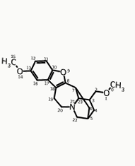 COCC1CC2CC3c4oc5ccc(OC)cc5c4CCN(C2)C13